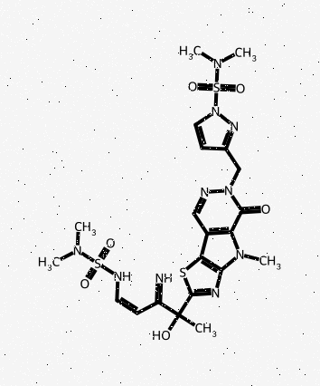 CN(C)S(=O)(=O)N/C=C\C(=N)C(C)(O)c1nc2c(s1)c1cnn(Cc3ccn(S(=O)(=O)N(C)C)n3)c(=O)c1n2C